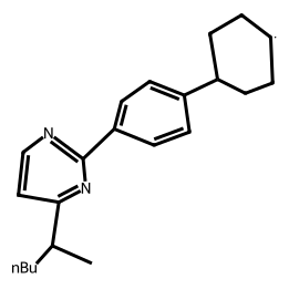 CCCCC(C)c1ccnc(-c2ccc(C3CC[CH]CC3)cc2)n1